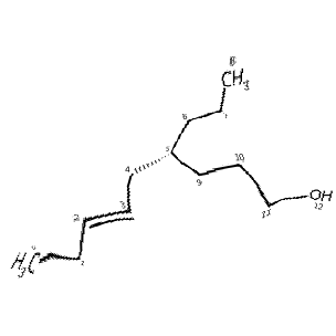 CC/C=C/C[C@H](CCC)CCCO